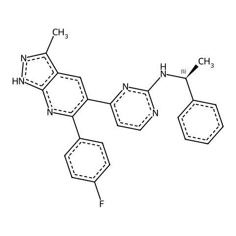 Cc1n[nH]c2nc(-c3ccc(F)cc3)c(-c3ccnc(N[C@@H](C)c4ccccc4)n3)cc12